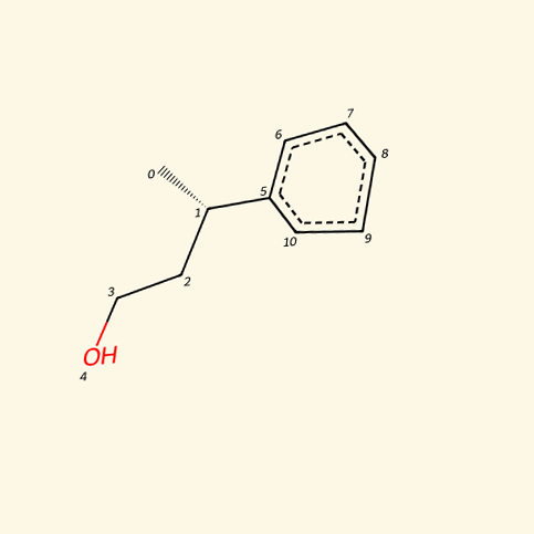 C[C@@H](CCO)c1ccccc1